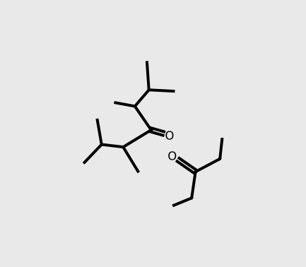 CC(C)C(C)C(=O)C(C)C(C)C.CCC(=O)CC